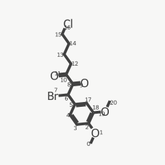 COc1ccc(C(Br)C(=O)C(=O)CCCCCl)cc1OC